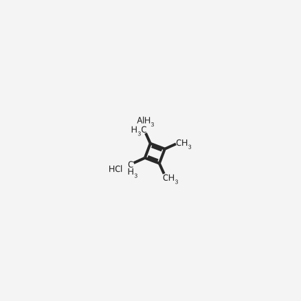 CC1=C(C)C(C)=C1C.Cl.[AlH3]